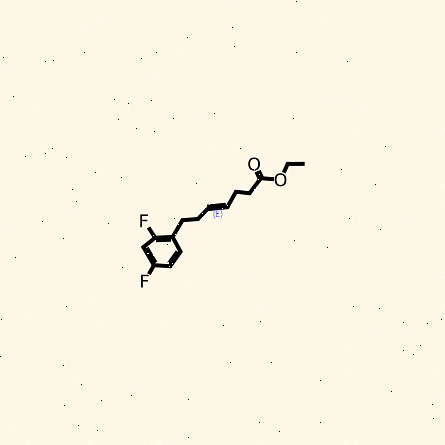 CCOC(=O)CC/C=C/CCc1ccc(F)cc1F